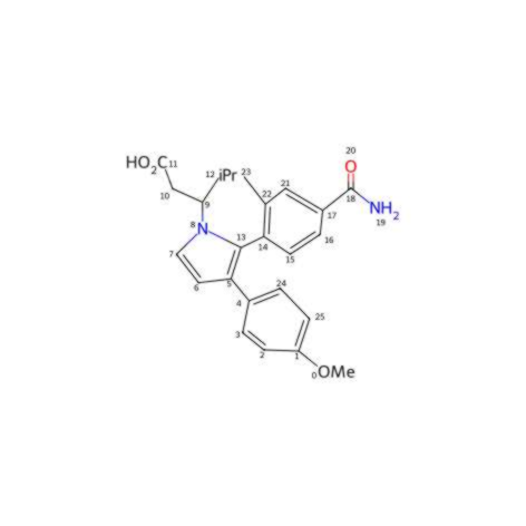 COc1ccc(-c2ccn(C(CC(=O)O)C(C)C)c2-c2ccc(C(N)=O)cc2C)cc1